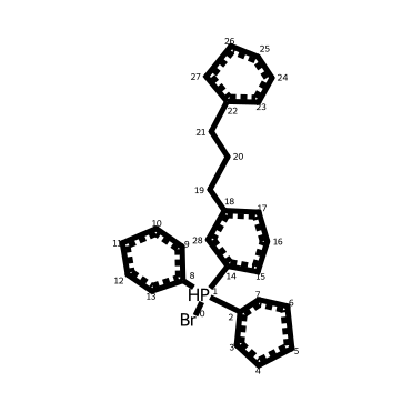 Br[PH](c1ccccc1)(c1ccccc1)c1cccc(CCCc2ccccc2)c1